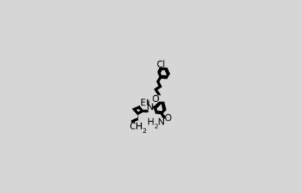 C=CC[C@@H]1CCC1CN(CC)c1cc(C(N)=O)ccc1OCCCCc1cccc(Cl)c1